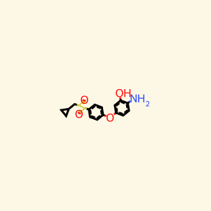 Nc1ccc(Oc2ccc(S(=O)(=O)CC3CC3)cc2)cc1O